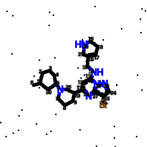 CC1CCCC(N2CCCC(c3cc(NCC4=CCCNC4)n4ncc(Br)c4n3)C2)C1